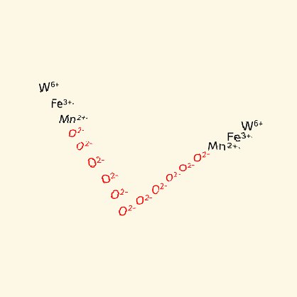 [Fe+3].[Fe+3].[Mn+2].[Mn+2].[O-2].[O-2].[O-2].[O-2].[O-2].[O-2].[O-2].[O-2].[O-2].[O-2].[O-2].[W+6].[W+6]